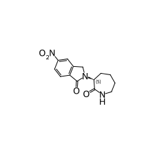 O=C1NCCCC[C@@H]1N1Cc2cc([N+](=O)[O-])ccc2C1=O